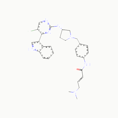 CN(C)CC=CC(=O)Nc1ccc(CN2CC[C@@H](Nc3ncc(Cl)c(-c4c[nH]c5ccccc45)n3)C2)cc1